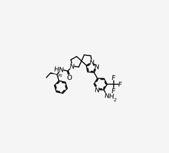 CC[C@@H](NC(=O)N1CCC2(CCn3nc(-c4cnc(N)c(C(F)(F)F)c4)cc32)C1)c1ccccc1